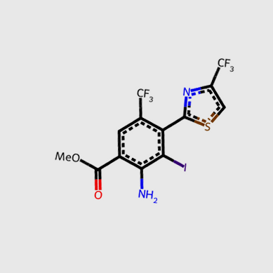 COC(=O)c1cc(C(F)(F)F)c(-c2nc(C(F)(F)F)cs2)c(I)c1N